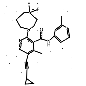 Cc1cccc(NC(=O)c2c(N3CCCC(F)(F)CC3)ncc(C#CC3CC3)c2C)c1